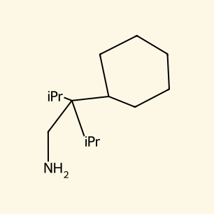 CC(C)C(CN)(C(C)C)C1CCCCC1